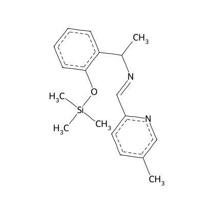 Cc1ccc(C=NC(C)c2ccccc2O[Si](C)(C)C)nc1